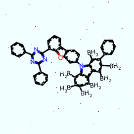 Bc1c(B)c(B)c2c(c1B)c1c(B)c(B)c(-c3ccccc3)c(B)c1n2-c1ccc2c(c1)oc1c(-c3nc(-c4ccccc4)nc(-c4ccccc4)n3)cccc12